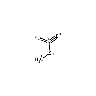 B#S(=O)SC